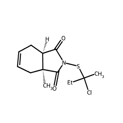 CCC(C)(Cl)SN1C(=O)[C@@H]2CC=CC[C@]2(C)C1=O